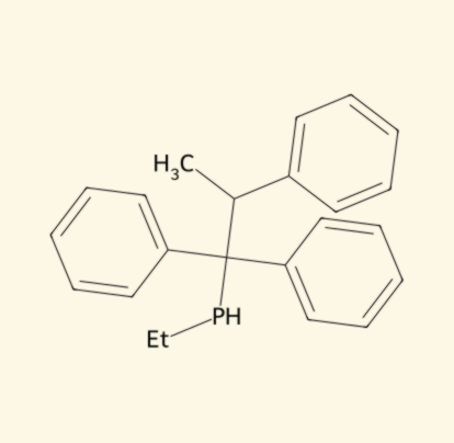 CCPC(c1ccccc1)(c1ccccc1)C(C)c1ccccc1